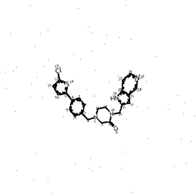 O=C1CN(Cc2ccc(-c3ccc(Cl)s3)cc2)CCN1Cc1cc2cnccc2[nH]1